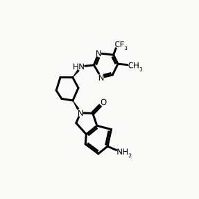 Cc1cnc(N[C@@H]2CCC[C@H](N3Cc4ccc(N)cc4C3=O)C2)nc1C(F)(F)F